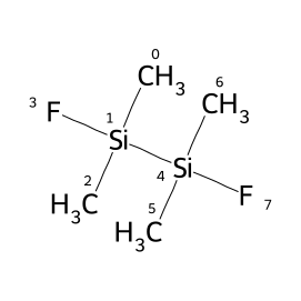 C[Si](C)(F)[Si](C)(C)F